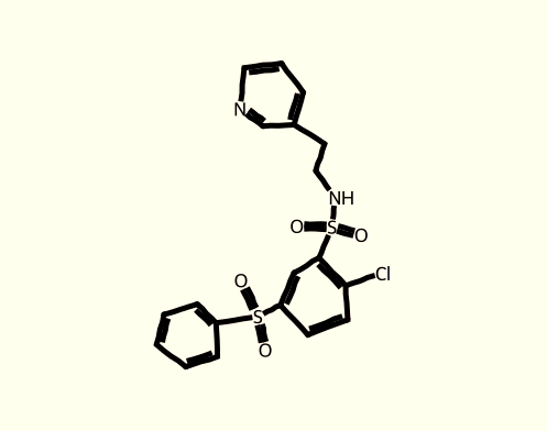 O=S(=O)(NCCc1cccnc1)c1cc(S(=O)(=O)c2ccccc2)ccc1Cl